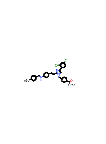 CCCCc1ccc(CNc2ccc(/C=C/c3nc(-c4ccc(Cl)cc4Cl)cn3Cc3ccc(C(=O)OC)cc3)cc2)cc1